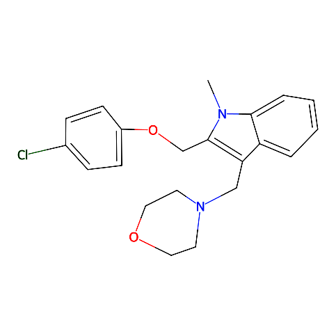 Cn1c(COc2ccc(Cl)cc2)c(CN2CCOCC2)c2ccccc21